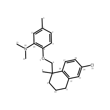 Cc1ccc(OCC2(C)CCCc3cc(Cl)ccc32)c(N(C)C)c1